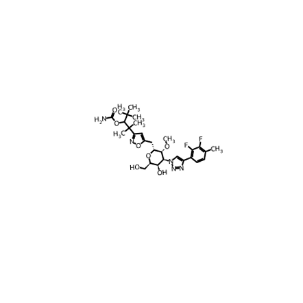 CO[C@@H]1[C@@H](n2cc(-c3ccc(C)c(F)c3F)nn2)[C@@H](O)[C@@H](CO)O[C@@H]1Cc1cc(C(C)(C)C(OC(N)=O)C(C)(C)C)no1